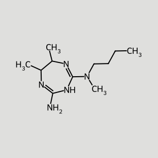 CCCCN(C)C1=NC(C)C(C)N=C(N)N1